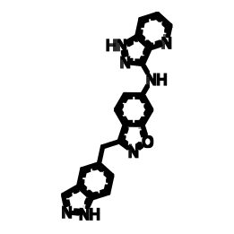 c1cnc2c(Nc3ccc4c(Cc5ccc6[nH]ncc6c5)noc4c3)n[nH]c2c1